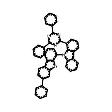 c1ccc(-c2ccc3c(c2)oc2c(-n4c5ccccc5c5cccc(-c6nc(-c7ccccc7)nc(-c7ccccc7)n6)c54)cccc23)cc1